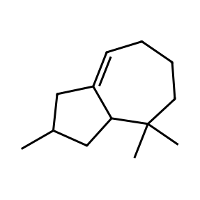 CC1CC2=CCCCC(C)(C)C2C1